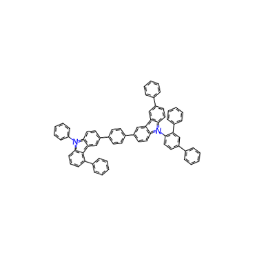 c1ccc(-c2ccc(-n3c4ccc(-c5ccccc5)cc4c4cc(-c5ccc(-c6ccc7c(c6)c6c(-c8ccccc8)cccc6n7-c6ccccc6)cc5)ccc43)c(-c3ccccc3)c2)cc1